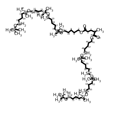 CC(CCC(=O)OCCCC[SiH2]O[Si](C)(C)CCCC[SiH2]O[Si](C)(C)CCC[SiH2]O[Si](C)(C)CCC[SiH2]O[Si](C)(C)C)C(=O)OCCCC[SiH2]O[Si](C)(C)CCCC[SiH2]O[Si](C)(C)CCC[SiH2]O[Si](C)(C)CCC[SiH2]O[Si](C)(C)C